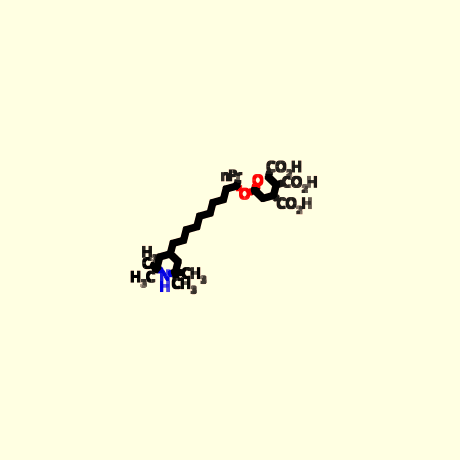 CCCC(CCCCCCCCCC1CC(C)(C)NC(C)(C)C1)OC(=O)CC(C(=O)O)C(CC(=O)O)C(=O)O